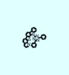 c1ccc(-c2nc(-c3ccccc3)nc(-n3c4ccccc4c4ccc5c6ccc7cccnc7c6sc5c43)n2)cc1